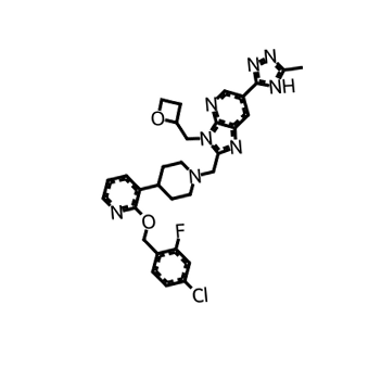 Cc1nnc(-c2cnc3c(c2)nc(CN2CCC(c4cccnc4OCc4ccc(Cl)cc4F)CC2)n3CC2CCO2)[nH]1